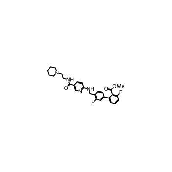 COC(=O)c1c(F)cccc1-c1ccc(CNc2ccc(C(=O)NCCN3CCCCC3)cn2)c(F)c1